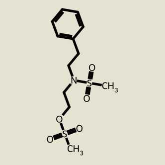 CS(=O)(=O)OCCN(CCc1ccccc1)S(C)(=O)=O